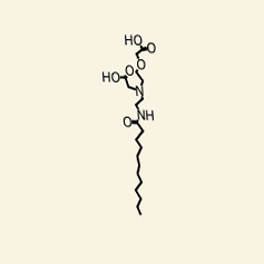 CCCCCCCCCCCC(=O)NCCN(CCOCC(=O)O)CC(=O)O